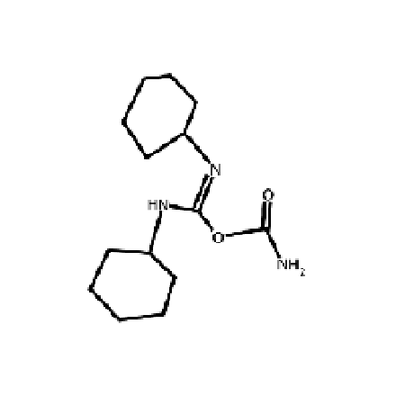 NC(=O)O/C(=N/C1CCCCC1)NC1CCCCC1